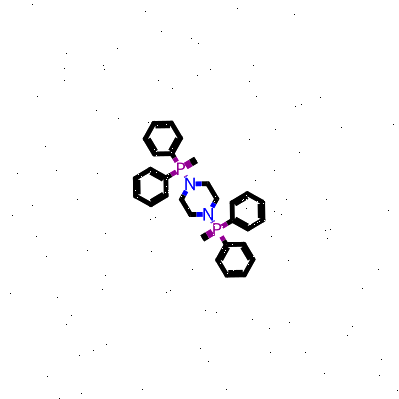 C=P(c1ccccc1)(c1ccccc1)N1CCN(P(=C)(c2ccccc2)c2ccccc2)CC1